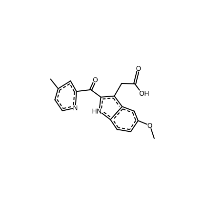 COc1ccc2[nH]c(C(=O)c3cc(C)ccn3)c(CC(=O)O)c2c1